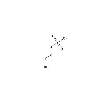 NOOOS(=O)(=O)O